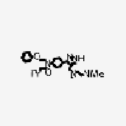 CNCCN(C)Cc1c[nH]nc1C1CCC(N(CCOc2ccccc2)C(=O)CC(C)C)CC1